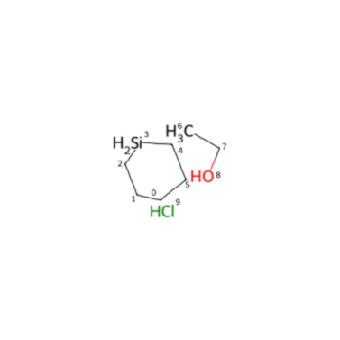 C1CC[SiH2]CC1.CCO.Cl